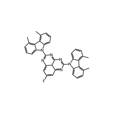 Cc1cccc2c1c1c(C)cccc1n2C1=NC2=CC(F)=CC3=NC(n4c5cccc(C)c5c5c(C)cccc54)=NC(=N1)C23